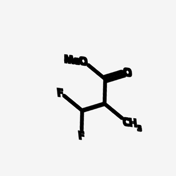 COC(=O)C(C)C(F)F